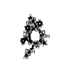 C[C@@H](OC(C)(C)C)[C@@H]1NC(=O)[C@H](CCCCNC(=O)OC(C)(C)C)NC(=O)[C@@H](Cc2c[nH]c3ccccc23)NC(=O)[C@H](Cc2ccc(O)cc2)NC(=O)[C@@H](NC(=O)[C@@H](Cc2ccccc2)NC(=O)OC(C)(C)C)CSSC[C@@H](C(=O)O)NC1=O